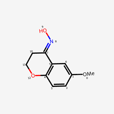 COc1ccc2c(c1)/C(=N/O)CCO2